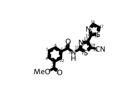 COC(=O)c1cccc(C(=O)Nc2nc(-c3nccs3)c(C#N)s2)c1